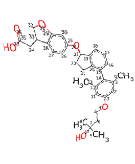 Cc1cc(OCCC(C)(C)O)cc(C)c1-c1cccc2c1CC[C@H]2Oc1ccc2c(c1)OCC2CC(=O)O